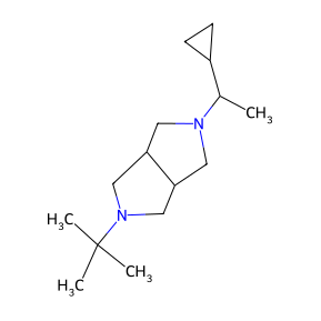 CC(C1CC1)N1CC2CN(C(C)(C)C)CC2C1